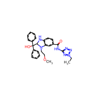 CCn1nnc(NC(=O)c2ccc3c(c2)N(CCOC)C(C(O)(c2ccccc2)c2ccccc2)N3)n1